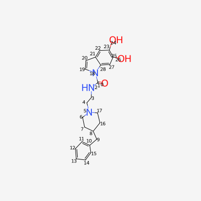 O=C(NCCN1CCC(Cc2ccccc2)CC1)n1ccc2cc(O)c(O)cc21